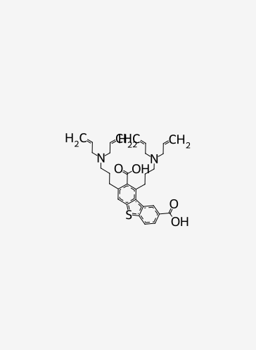 C=CCN(CC=C)CCCc1cc2sc3ccc(C(=O)O)cc3c2c(CCCN(CC=C)CC=C)c1C(=O)O